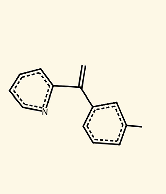 C=C(c1cccc(C)c1)c1ccccn1